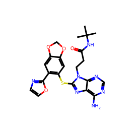 CC(C)(C)NC(=O)CCn1c(Sc2cc3c(cc2-c2ncco2)OCO3)nc2c(N)ncnc21